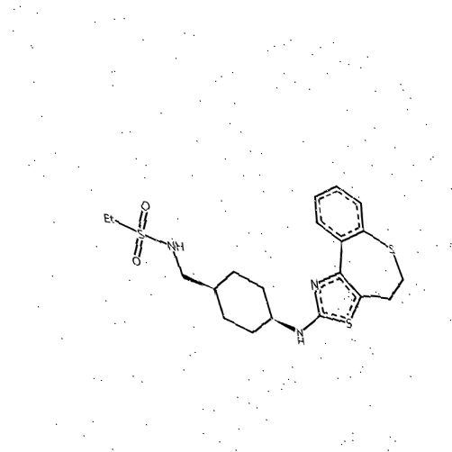 CCS(=O)(=O)NC[C@H]1CC[C@@H](Nc2nc3c(s2)CCSc2ccccc2-3)CC1